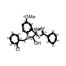 COc1ccc2c(c1)C1(NN=C(c3ccccc3)S1)C(O)N2Cc1ccccc1Cl